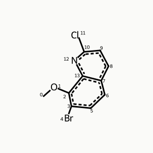 COc1c(Br)ccc2ccc(Cl)nc12